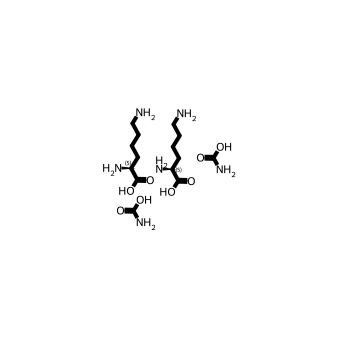 NC(=O)O.NC(=O)O.NCCCC[C@H](N)C(=O)O.NCCCC[C@H](N)C(=O)O